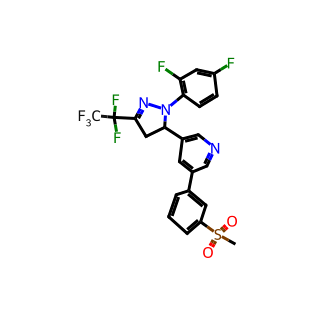 CS(=O)(=O)c1cccc(-c2cncc(C3CC(C(F)(F)C(F)(F)F)=NN3c3ccc(F)cc3F)c2)c1